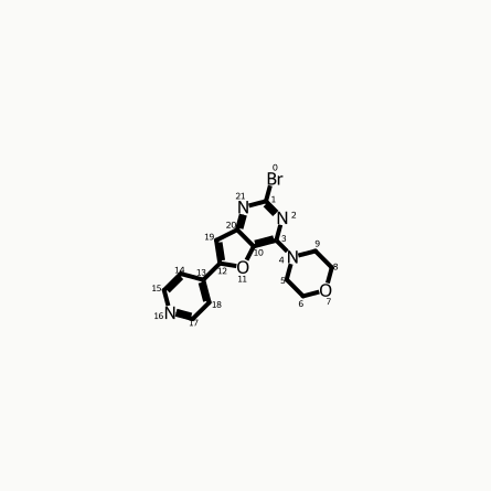 Brc1nc(N2CCOCC2)c2oc(-c3ccncc3)cc2n1